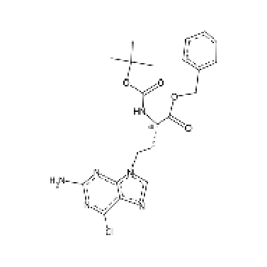 CC(C)(C)OC(=O)N[C@@H](CCn1cnc2c(Cl)nc(N)nc21)C(=O)OCc1ccccc1